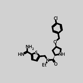 CCN(Cc1ccc(C(=N)N)s1)C(=O)[C@@H]1C[C@@H](OCc2ccc(Cl)cc2)CN1